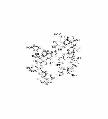 CC[C@H](C)[C@H](NC(=O)[C@H](CC(C)C)NC(=O)[C@H](CCC(=O)O)NC(=O)[C@@H](NC(=O)[C@H](CO)NC(=O)[C@H](Cc1ccc(O)cc1)NC(=O)[C@@H](NC(=O)[C@H](CCSC)NC(=O)[C@@H](N)CCSC)[C@@H](C)O)[C@@H](C)O)C(=O)N[C@@H](Cc1ccccc1)C(=O)N[C@@H](Cc1ccc(O)cc1)C(=O)N[C@H](C(=O)N[C@@H](CCC(=O)O)C(=O)N[C@@H](CCSC)C(=O)N[C@@H](CC(=O)O)C(=O)N1CCC[C@H]1C(N)=O)[C@@H](C)CC